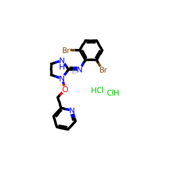 Brc1cccc(Br)c1/N=C1\NCCN1OCc1ccccn1.Cl.Cl